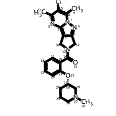 Cc1nc2c3c(nn2c(C)c1Cl)CN(C(=O)c1ccccc1O[C@H]1CCCN(C)C1)C3